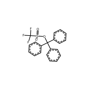 O=S(=O)(OC(c1ccccc1)(c1ccccc1)c1ccccc1)C(F)(F)F